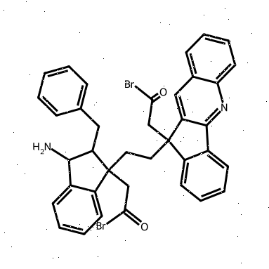 NC1c2ccccc2C(CCC2(CC(=O)Br)c3ccccc3-c3nc4ccccc4cc32)(CC(=O)Br)C1Cc1ccccc1